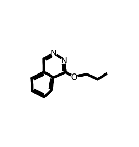 CCCOc1nncc2ccccc12